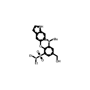 CCCCN(CCCC)c1cc(CO)cc(S(=O)(=O)N(CC)CC)c1Oc1ccc2[nH]ccc2c1